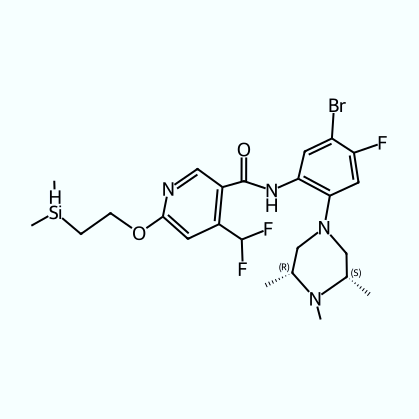 C[C@@H]1CN(c2cc(F)c(Br)cc2NC(=O)c2cnc(OCC[SiH](C)C)cc2C(F)F)C[C@H](C)N1C